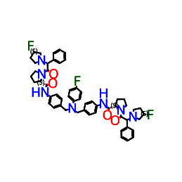 O=C(Nc1ccc(CN(Cc2ccc(NC(=O)[C@@H]3CCCN3C(=O)C(c3ccccc3)N3CC[C@H](F)C3)cc2)c2ccc(F)cc2)cc1)[C@@H]1CCCN1C(=O)C(c1ccccc1)N1CC[C@H](F)C1